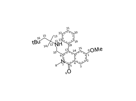 COc1ccc2c(=O)n(C)c(CNC(C)(C)CC(C)(C)C)c(-c3ccccc3)c2c1